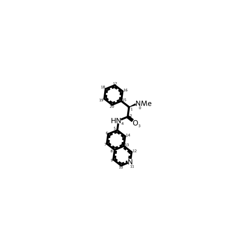 CN[C@@H](C(=O)Nc1ccc2ccncc2c1)c1ccccc1